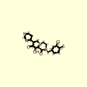 O=C1c2c(O)c(=O)c(-c3ccncn3)cn2CCN1Cc1ccc(F)c(Cl)c1